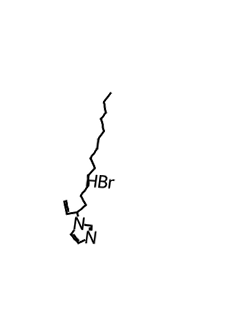 Br.C=CC(CCCCCCCCCCCCC)n1ccnc1